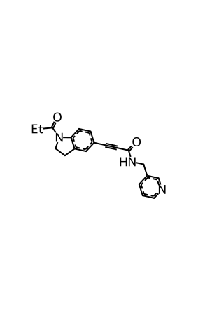 CCC(=O)N1CCc2cc(C#CC(=O)NCc3cccnc3)ccc21